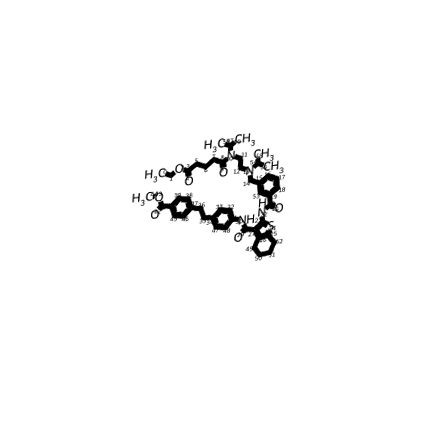 CCOC(=O)CCCC(=O)N(CCN(Cc1cccc(C(=O)Nc2sc3c(c2C(=O)Nc2ccc(CCc4ccc(C(=O)OC)cc4)cc2)CCCC3)c1)C(C)C)C(C)C